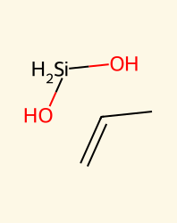 C=CC.O[SiH2]O